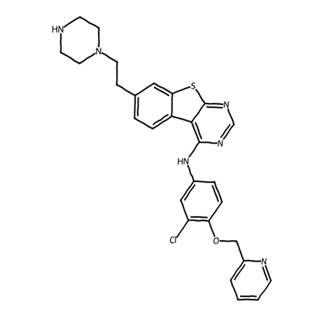 Clc1cc(Nc2ncnc3sc4cc(CCN5CCNCC5)ccc4c23)ccc1OCc1ccccn1